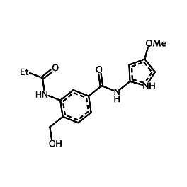 CCC(=O)Nc1cc(C(=O)Nc2cc(OC)c[nH]2)ccc1CO